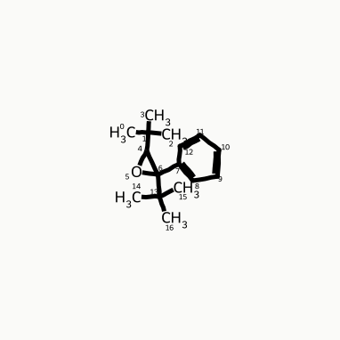 CC(C)(C)C1OC1(c1ccccc1)C(C)(C)C